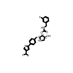 O=C(NCc1cccc(F)c1)O[C@@H]1[C@@H](O)CN[C@@H]1Cc1ccc(-c2cc(C(F)F)cs2)cc1